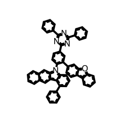 c1ccc(-c2nc(-c3ccccc3)nc(-c3ccc(-n4c5cc6ccccc6cc5c5c(-c6ccccc6)cccc54)c(-c4ccc5c(c4)oc4ccccc45)c3)n2)cc1